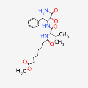 COC(=O)CCCCCCC(=O)N[C@H](C(=O)NC(Cc1ccccc1)C(=O)C(N)=O)C(C)C